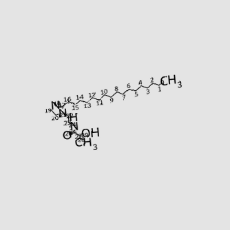 CCCCCCCCCCCCCCCC=CC1=NCCN1CCNC(=O)C(C)O